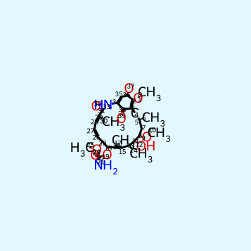 COC1=C2C[C@@H](C)C[C@H](OC)[C@@H](O)[C@@H](C)/C=C(\C)[C@H](OC(N)=O)[C@@H](OC)/C=C\C=C(/C)C(=O)NC(=CC1=O)C2=O